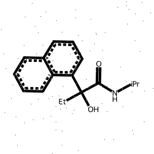 CCC(O)(C(=O)NC(C)C)c1cccc2ccccc12